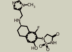 Cn1cncc1CN[C@@H]1CCc2cc(O)c(N3CC(=O)NS3(=O)=O)c(F)c2C1